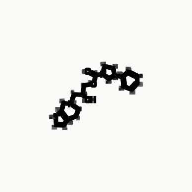 O=C(OCC(O)CN1CCc2ccsc2C1)N1CCC(c2ccccc2)C1